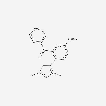 COc1ccc(C2=C(C)C=C(C)C2)c(C(=O)c2ccccc2)c1